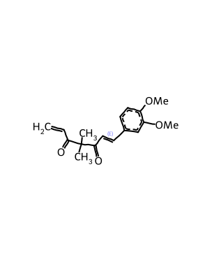 C=CC(=O)C(C)(C)C(=O)/C=C/c1ccc(OC)c(OC)c1